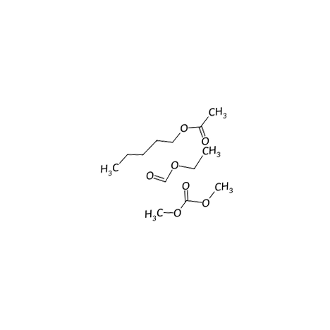 CCCCCOC(C)=O.CCOC=O.COC(=O)OC